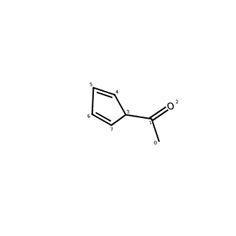 CC(=O)C1C=CC=C1